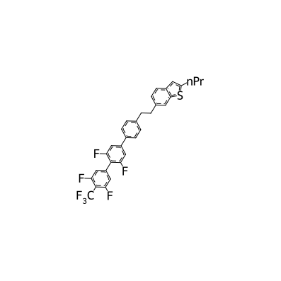 CCCc1cc2ccc(CCc3ccc(-c4cc(F)c(-c5cc(F)c(C(F)(F)F)c(F)c5)c(F)c4)cc3)cc2s1